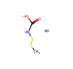 CSSNC(=O)O.[KH]